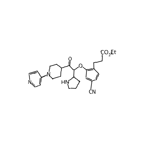 CCOC(=O)CCc1ccc(C#N)cc1OC(C(=O)C1CCN(c2ccncc2)CC1)C1CCCN1